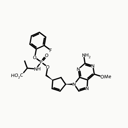 COc1nc(N)nc2c1ncn2[C@H]1C=C[C@@H](COP(=O)(NC(C)C(=O)O)Oc2ccccc2F)C1